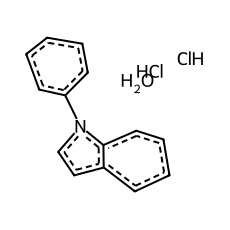 Cl.Cl.O.c1ccc(-n2ccc3ccccc32)cc1